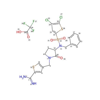 N=C(N)c1cc(CN2CCC(N(Cc3ccccc3)S(=O)(=O)c3cc(Cl)c(Cl)s3)C2=O)cs1.O=C(O)C(F)(F)F